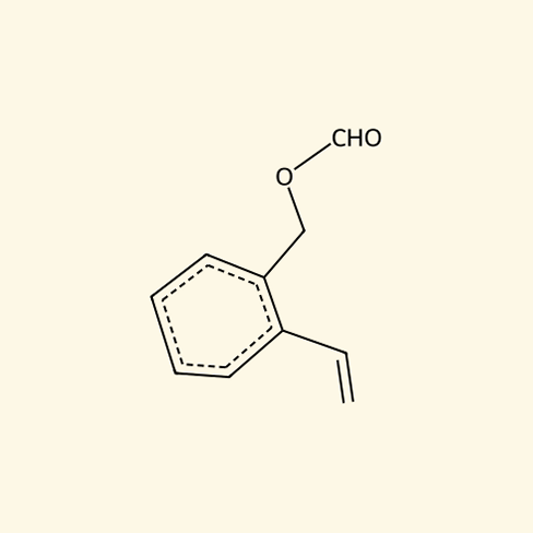 C=Cc1ccccc1COC=O